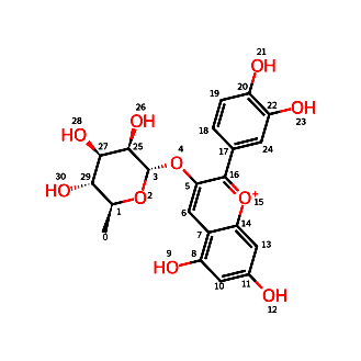 C[C@@H]1O[C@@H](Oc2cc3c(O)cc(O)cc3[o+]c2-c2ccc(O)c(O)c2)[C@H](O)[C@H](O)[C@H]1O